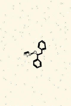 C=C[SiH2]OC(Cc1ccccc1)c1ccccc1